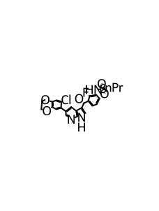 CCCS(=O)(=O)Nc1cccc(C(=O)c2c[nH]c3ncc(-c4cc5c(cc4Cl)OCCO5)cc23)c1F